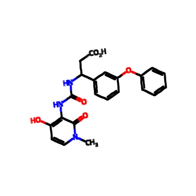 Cn1ccc(O)c(NC(=O)NC(CC(=O)O)c2cccc(Oc3ccccc3)c2)c1=O